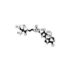 CCC(C)(C)C(=O)SCCO[PH](=O)OC[C@H]1OC(n2cnc3c(Cl)ncnc32)[C@@](C)(O)C1O